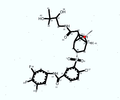 C[C@H]1CC2C[C@@H](S(=O)(=O)c3cc(C(=O)Nc4cc(F)c(F)c(F)c4)ccc3Cl)C[C@H]1[C@@]2(O)CC(=O)NCC(O)C(C)(C)O